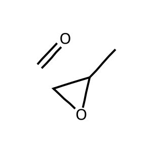 C=O.CC1CO1